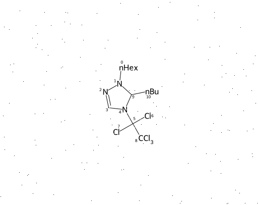 CCCCCCN1N=CN(C(Cl)(Cl)C(Cl)(Cl)Cl)C1CCCC